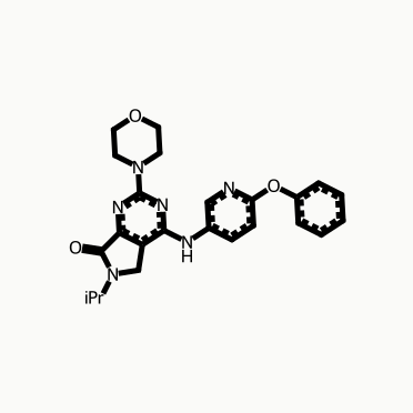 CC(C)N1Cc2c(Nc3ccc(Oc4ccccc4)nc3)nc(N3CCOCC3)nc2C1=O